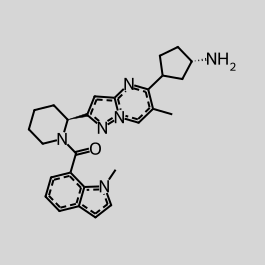 Cc1cn2nc([C@@H]3CCCCN3C(=O)c3cccc4ccn(C)c34)cc2nc1C1CC[C@H](N)C1